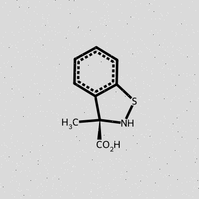 C[C@@]1(C(=O)O)NSc2ccccc21